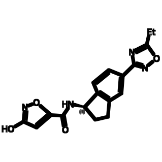 CCc1nc(-c2ccc3c(c2)CC[C@H]3NC(=O)c2cc(O)no2)no1